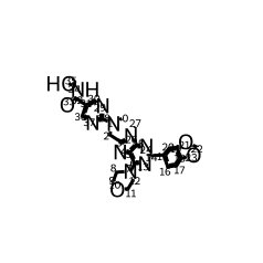 CN(Cc1nc2c(N3CCOCC3)nc(-c3ccc4c(c3)OCO4)nc2n1C)c1ncc(C(=O)NO)cn1